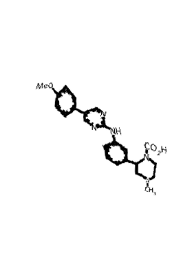 COc1ccc(-c2cnc(Nc3cccc(C4CN(C)CCN4C(=O)O)c3)nc2)cc1